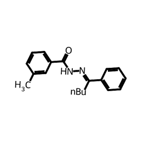 CCCC/C(=N\NC(=O)c1cccc(C)c1)c1ccccc1